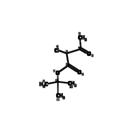 CC(=O)C(Cl)C(=O)OC(C)(C)C